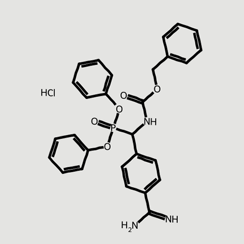 Cl.N=C(N)c1ccc(C(NC(=O)OCc2ccccc2)P(=O)(Oc2ccccc2)Oc2ccccc2)cc1